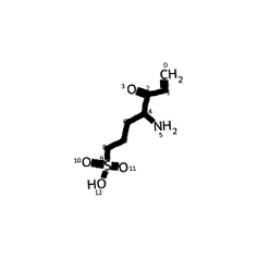 C=CC(=O)C(N)CCCS(=O)(=O)O